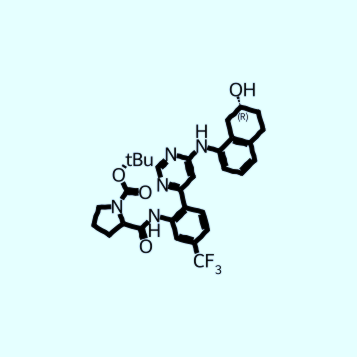 CC(C)(C)OC(=O)N1CCCC1C(=O)Nc1cc(C(F)(F)F)ccc1-c1cc(Nc2cccc3c2C[C@H](O)CC3)ncn1